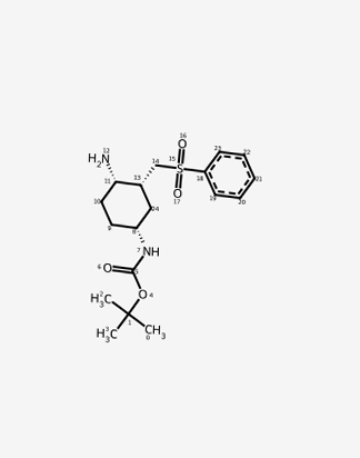 CC(C)(C)OC(=O)N[C@@H]1CC[C@H](N)[C@H](CS(=O)(=O)c2ccccc2)C1